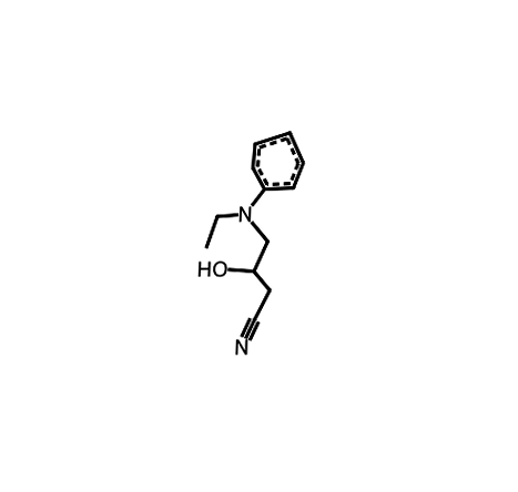 CCN(CC(O)CC#N)c1ccccc1